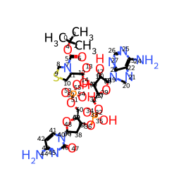 CC(C)(C)OC(=O)N1CSCC1C(=O)O[C@H]1[C@@H](O)[C@H](n2cnc3c(N)ncnc32)O[C@H]1COP(=O)(O)O[C@H]1C[C@H](n2ccc(N)nc2=O)O[C@H]1COP(=O)(O)O